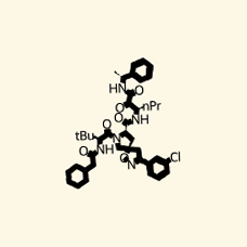 CCC[C@H](NC(=O)[C@@H]1C[C@]2(CC(c3cccc(Cl)c3)=NO2)CN1C(=O)[C@@H](NC(=O)CC1CCCCC1)C(C)(C)C)C(=O)C(=O)N[C@H](C)c1ccccc1